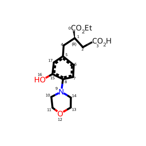 CCOC(=O)[C@@H](CC(=O)O)Cc1ccc(N2CCOCC2)c(O)c1